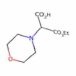 CCOC(=O)C(C(=O)O)N1CCOCC1